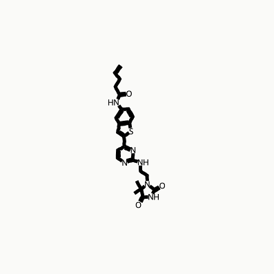 C=CCCC(=O)Nc1ccc2sc(-c3ccnc(NCCN4C(=O)NC(=O)C4(C)C)n3)cc2c1